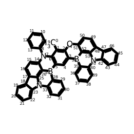 Cc1c2c(cc3c1N(c1ccccc1)c1ccc4c5ccccc5n5c4c1B3c1ccccc1-5)B1c3ccccc3-n3c4ccccc4c4ccc(c1c43)O2